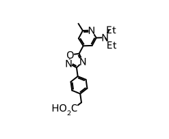 CCN(CC)c1cc(-c2nc(-c3ccc(CC(=O)O)cc3)no2)cc(C)n1